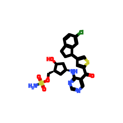 NS(=O)(=O)OC[C@H]1C[C@@H](Nc2ncncc2C(=O)c2cc(C3CCc4ccc(Cl)cc43)cs2)C[C@@H]1O